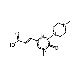 CN1CCN(c2nc(/C=C/C(=O)O)c[nH]c2=O)CC1